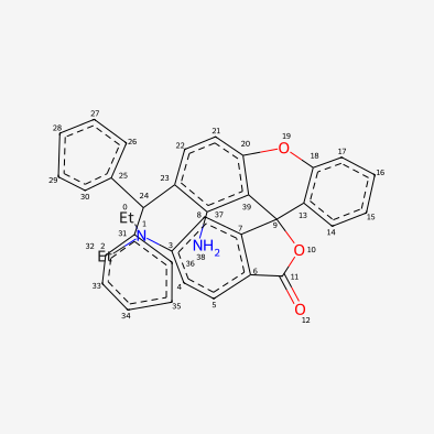 CCN(CC)c1ccc2c(c1)C1(OC2=O)c2ccccc2Oc2ccc(C(c3ccccc3)c3ccccc3)c(N)c21